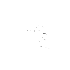 CCC(C)C(NC(=O)OCC(C)(C)C)C(=O)NC(CC(C)C)C(=O)NC1COCCNC(=O)C1=O